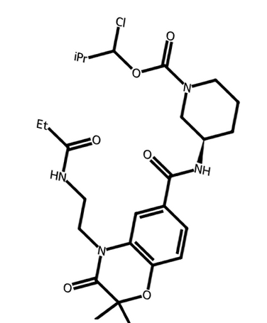 CCC(=O)NCCN1C(=O)C(C)(C)Oc2ccc(C(=O)N[C@@H]3CCCN(C(=O)OC(Cl)C(C)C)C3)cc21